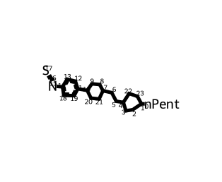 CCCCCC1CCC(CCC2CCC(c3ccc(N=C=S)cc3)CC2)CC1